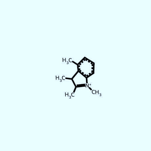 CC1=[N+](C)c2cccc(C)c2C1C